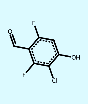 O=Cc1c(F)cc(O)c(Cl)c1F